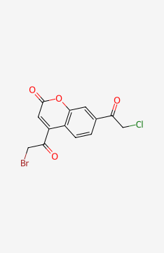 O=C(CCl)c1ccc2c(C(=O)CBr)cc(=O)oc2c1